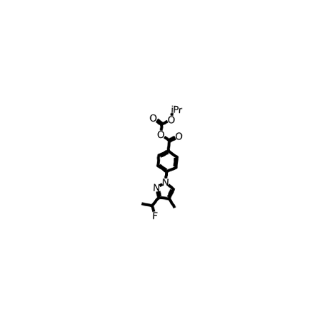 Cc1cn(-c2ccc(C(=O)OC(=O)OC(C)C)cc2)nc1C(C)F